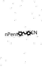 CCCCCC1CCC(CCc2ccc(C#N)cc2)CC1